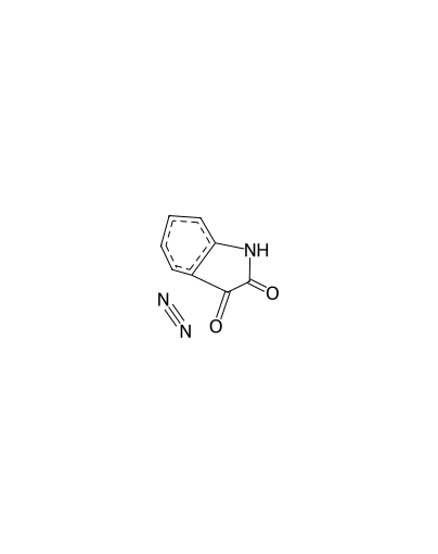 N#N.O=C1Nc2ccccc2C1=O